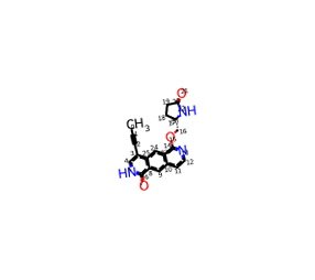 CC#Cc1c[nH]c(=O)c2cc3ccnc(OC[C@@H]4CCC(=O)N4)c3cc12